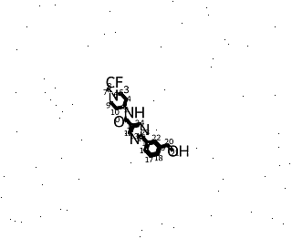 O=C(NC1CCN(CC(F)(F)F)CC1)c1cnc(-c2cccc(CO)c2)nc1